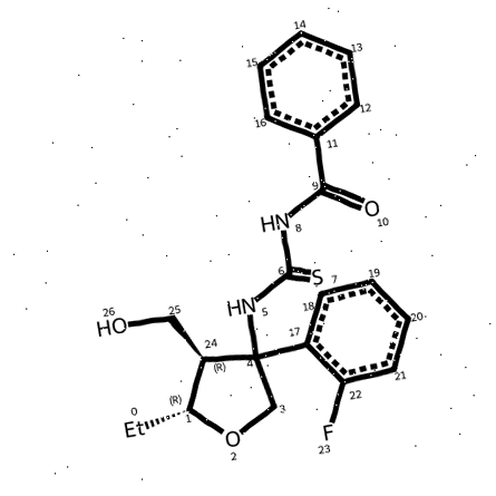 CC[C@H]1OCC(NC(=S)NC(=O)c2ccccc2)(c2ccccc2F)[C@@H]1CO